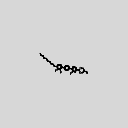 C=CC1COC(c2ccc(-c3ccc(-c4ccc(CCCCCCCCCC)c(F)c4F)cc3)c(F)c2)OC1